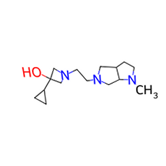 CN1CCC2CN(CCN3CC(O)(C4CC4)C3)CC21